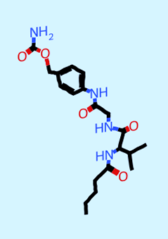 CCCCC(=O)NC(C(=O)NCC(=O)Nc1ccc(COC(N)=O)cc1)C(C)C